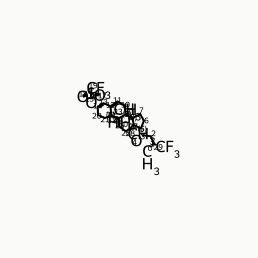 CC(CC(=O)[C@H]1CC[C@H]2[C@@H]3CC=C4C=C(OS(=O)(=O)C(F)(F)F)CC[C@]4(C)[C@H]3CC[C@]12C)C(F)(F)F